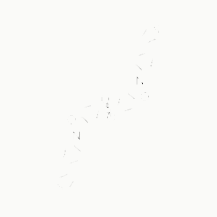 O=S(=O)(c1ccc2c(c1)CN(c1ccc(-c3ccsc3)cc1)CO2)c1ccc2c(c1)CN(c1ccc(-c3ccsc3)cc1)CO2